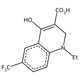 CCN1CC(C(=O)O)=C(O)c2cc(C(F)(F)F)ccc21